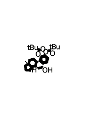 CC(C)(C)C(=O)Oc1cccc([C@H]2CC[C@]3(C)CCC[C@H]3[C@@H]2CCO)c1OC(=O)C(C)(C)C